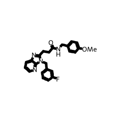 COc1ccc(CNC(=O)CCc2nc3cccnc3n2Cc2cccc(F)c2)cc1